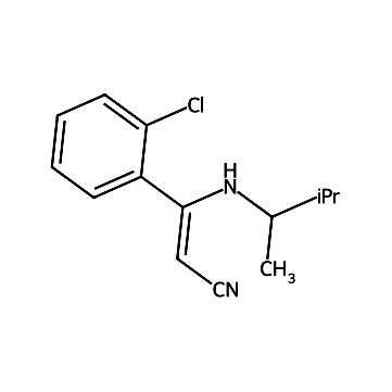 CC(C)C(C)NC(=CC#N)c1ccccc1Cl